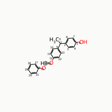 CC(c1ccc(O)cc1)c1ccc(OBOc2ccccc2)cc1